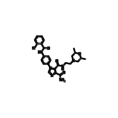 CC1CN(CCNC(=O)c2c(C(N)=O)ncn2-c2ccc(NC(=O)c3ccccc3Cl)cc2)CC(C)O1